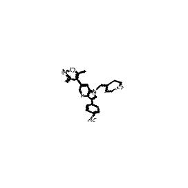 CC(=O)c1ccc(-c2cn(CC3CCOCC3)c3cc(-c4c(C)noc4C)cnc23)cc1